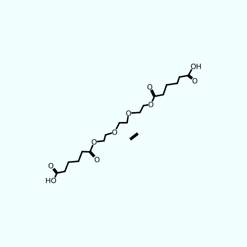 C=C.O=C(O)CCCCC(=O)OCCOCCOCCOC(=O)CCCCC(=O)O